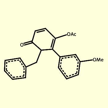 COc1cccc(C2=C(OC(C)=O)C=CC(=O)C2Cc2ccccc2)c1